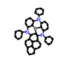 c1ccc(N2c3cccc4c3B3c5c2cccc5N(c2ccccc2)c2c3c(c3ccc5cccc6ccc2c3c56)N4c2ccccc2)cc1